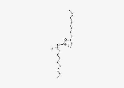 CCCCCCCCC(CC)O[SiH2]OC(CC)CCCCCCCC